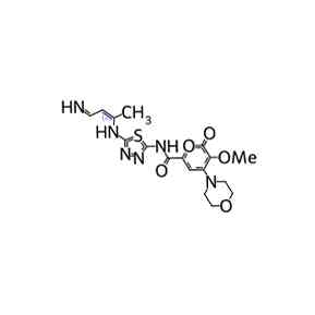 COc1c(N2CCOCC2)cc(C(=O)Nc2nnc(N/C(C)=C\C=N)s2)oc1=O